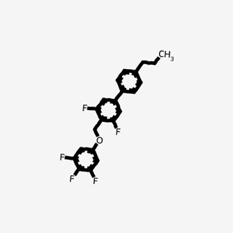 CCCc1ccc(-c2cc(F)c(COc3cc(F)c(F)c(F)c3)c(F)c2)cc1